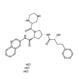 Cl.Cl.Cl.O=C(N[C@@H]1C[C@@H](C(=O)Nc2cnc3ccccc3c2)N(C(=O)C2CNCCN2)C1)[C@H](O)CCc1ccccc1